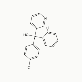 OC(c1ccc(Cl)cc1)(c1cccnc1)c1ccccc1Cl